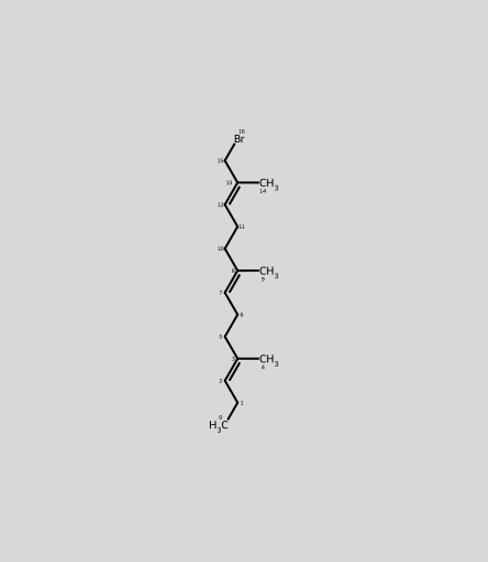 CC/C=C(\C)CC/C=C(\C)CC/C=C(\C)CBr